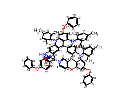 Cc1cc(C)c(N2c3cc4c(cc3B3c5cnccc5Oc5cc(Oc6ccccc6)cc2c53)B2c3cc5c(cc3N(c3c(C)cc(C)cc3C)c3cc(Oc6ccccc6)cc(c32)N4c2c(C)cc(C)cc2C)Nc2cc(Oc3ccccc3)cc3c2B5c2cnccc2O3)c(C)c1